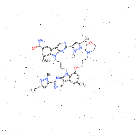 CCn1nc(C)cc1-c1ncc2c3cc(C(N)=O)cc(OC)c3n(C/C=C/Cn3c4nc(-c5cc(C)nn5CC)ncc4c4cc(C)cc(OCCCN5CCOCC5)c43)c2n1